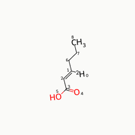 [2H]/C(=C\C(=O)O)CCC